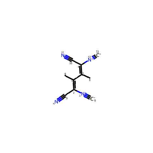 [C-]#[N+]/C(C#N)=C(C)\C(C)=C(/C#N)[N+]#[C-]